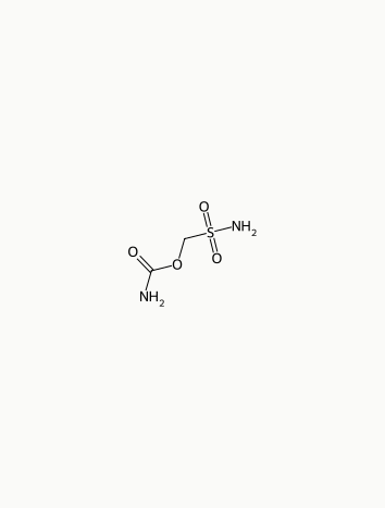 NC(=O)OCS(N)(=O)=O